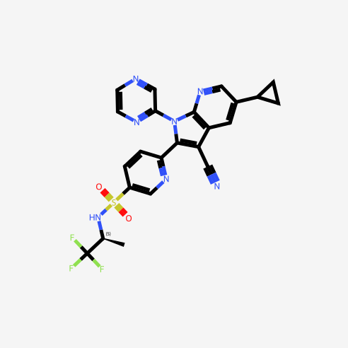 C[C@H](NS(=O)(=O)c1ccc(-c2c(C#N)c3cc(C4CC4)cnc3n2-c2cnccn2)nc1)C(F)(F)F